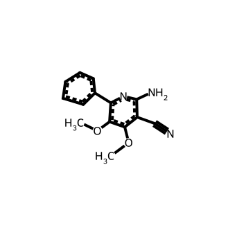 COc1c(-c2ccccc2)nc(N)c(C#N)c1OC